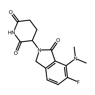 CN(C)c1c(F)ccc2c1C(=O)N(C1CCC(=O)NC1=O)C2